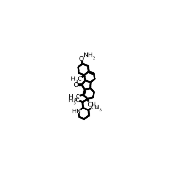 CC1=C2C(=O)C3C(CC=C4CC(ON)CCC43C)C2CCC1(C)C(C)C1NCCCC1C